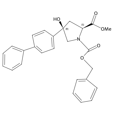 COC(=O)[C@@H]1C[C@@](O)(c2ccc(-c3ccccc3)cc2)CN1C(=O)OCc1ccccc1